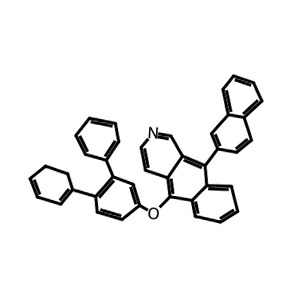 C1=CCCC(c2ccc(Oc3c4ccccc4c(-c4ccc5ccccc5c4)c4cnccc34)cc2-c2ccccc2)=C1